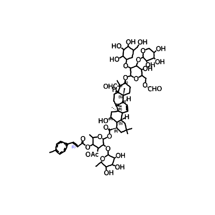 CC(=O)OC1C(OC(=O)/C=C/c2ccc(C)cc2)C(C)OC(OC(=O)[C@@H]2CC(C)(C)C[C@@H]3C2[C@H](O)C[C@]2(C)C3C=C[C@@H]3[C@@]4(C)CC[C@H](OC5OC(COC=O)C(O)C(OC6OCC(O)C(O)C6O)C5OC5CC(CO)C(O)C(O)C5O)[C@@](C)(C=O)[C@@H]4CC[C@]32C)C1OC1OC(C)C(O)C(O)C1O